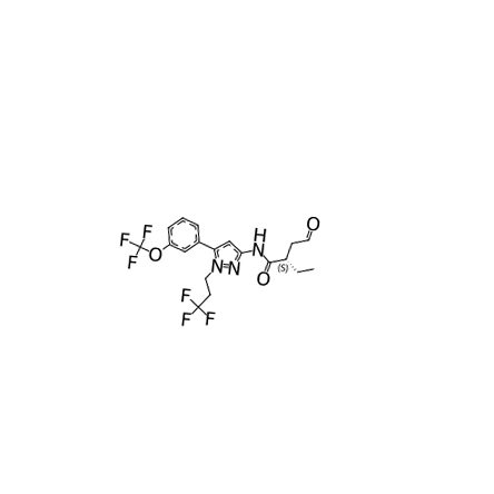 CC[C@@H](CC=O)C(=O)Nc1cc(-c2cccc(OC(F)(F)F)c2)n(CCC(F)(F)F)n1